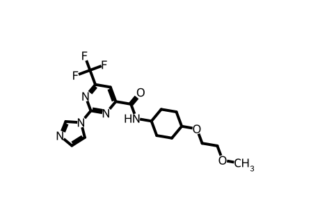 COCCOC1CCC(NC(=O)c2cc(C(F)(F)F)nc(-n3ccnc3)n2)CC1